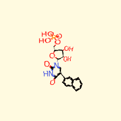 O=c1[nH]c(=O)n([C@@H]2O[C@H](COP(=O)(O)O)[C@@H](O)[C@H]2O)cc1-c1ccc2ccccc2c1